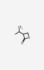 [CH2]C(C1CSC1=O)C(F)(F)F